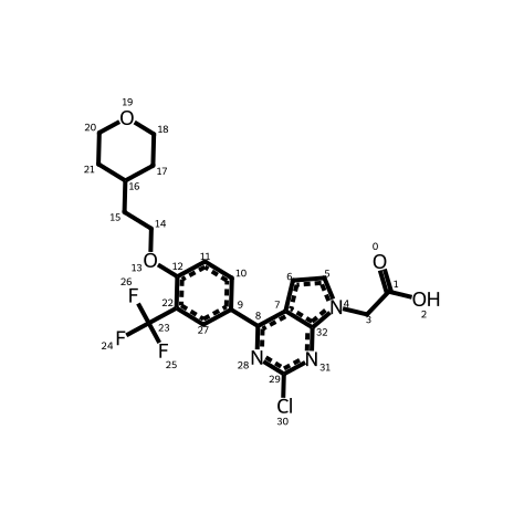 O=C(O)Cn1ccc2c(-c3ccc(OCCC4CCOCC4)c(C(F)(F)F)c3)nc(Cl)nc21